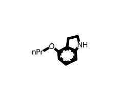 CCCOc1cccc2c1CCN2